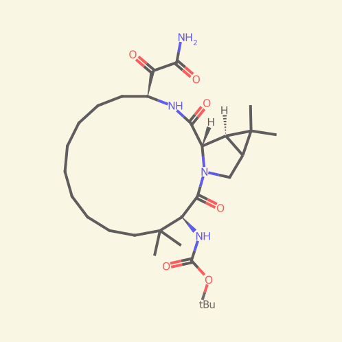 CC(C)(C)OC(=O)N[C@@H]1C(=O)N2CC3[C@@H]([C@H]2C(=O)N[C@H](C(=O)C(N)=O)CCCCCCCCCC1(C)C)C3(C)C